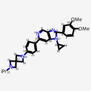 COc1ccc(-c2nc3cnc(-c4ccc(N5CC6(C5)CN(C(C)C)C6)cc4)cc3n2C2CC2)cc1OC